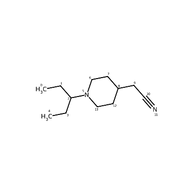 CCC(CC)N1CCC(CC#N)CC1